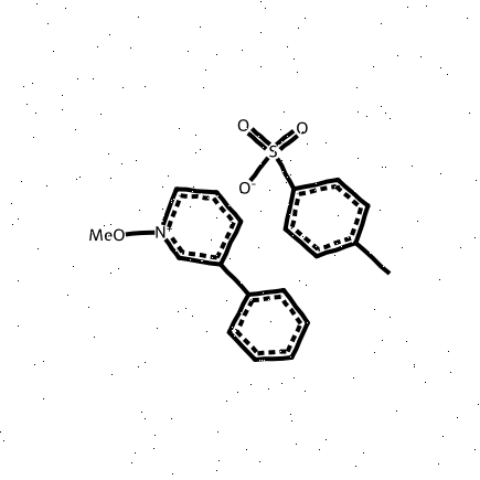 CO[n+]1cccc(-c2ccccc2)c1.Cc1ccc(S(=O)(=O)[O-])cc1